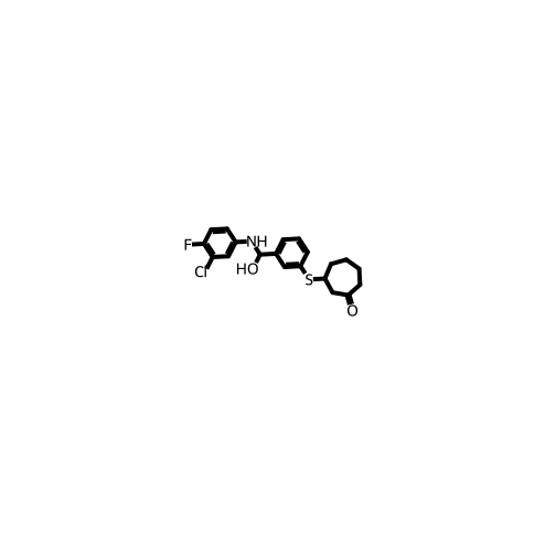 O=C1CCCCC(Sc2cccc(C(O)Nc3ccc(F)c(Cl)c3)c2)C1